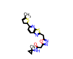 CC1=CCC(c2ccc3nc(Cc4nnc(CC(=O)NC5(C#N)CC5)o4)sc3n2)S1